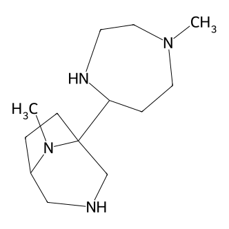 CN1CCNC(C23CCC(CNC2)N3C)CC1